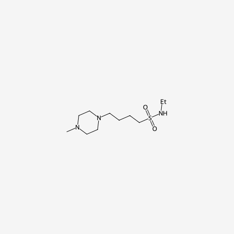 CCNS(=O)(=O)CCCCN1CCN(C)CC1